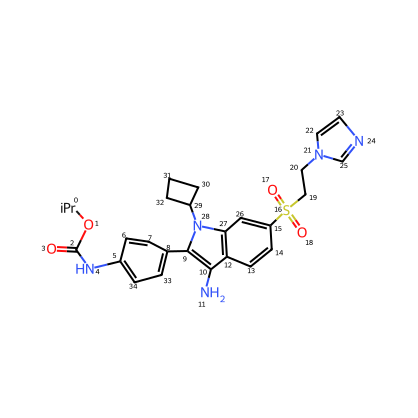 CC(C)OC(=O)Nc1ccc(-c2c(N)c3ccc(S(=O)(=O)CCn4ccnc4)cc3n2C2CCC2)cc1